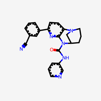 N#Cc1cccc(-c2ccc3c(n2)N(C(=O)Nc2cccnc2)C2CCCN3C2)c1